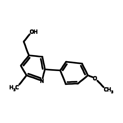 COc1ccc(-c2cc(CO)cc(C)n2)cc1